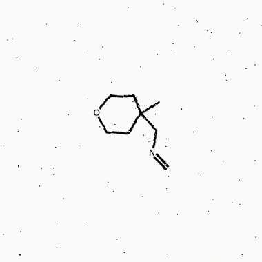 C=NCC1(C)CCOCC1